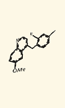 COc1ccc2nccc(Cc3ccc(C)cc3F)c2c1